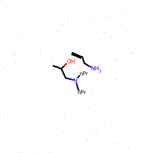 C=CCN.CCCN(CCC)CC(C)O